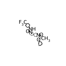 C[C@@H](Oc1ccccc1)C(=O)N1CCC2(CCN(C(=O)Nc3ccc(C(F)(F)F)cc3)C2)CC1